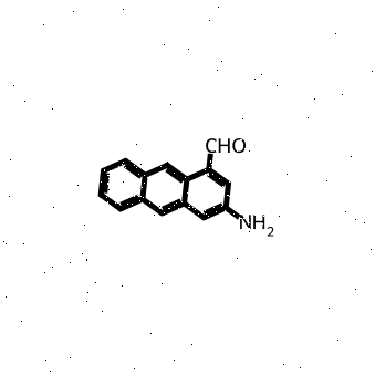 Nc1cc(C=O)c2cc3ccccc3cc2c1